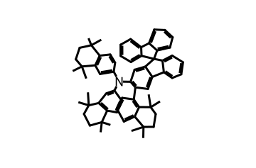 CC1(C)CCC(C)(C)c2cc(N(c3ccc4c(c3)C(C)(C)CCC4(C)C)c3cc4c(cc3-c3cccc5c3C(C)(C)CCC5(C)C)-c3ccccc3C43c4ccccc4-c4ccccc43)ccc21